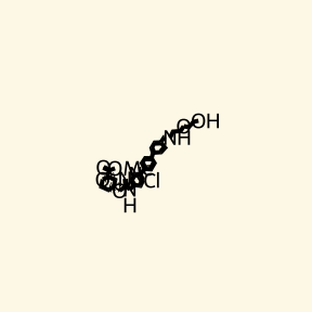 COC(=O)[C@H]1C[C@@H](Oc2nc3nc(-c4ccc(-c5ccc(CNCCOCCO)cc5)cc4)c(Cl)cc3[nH]2)CCO1